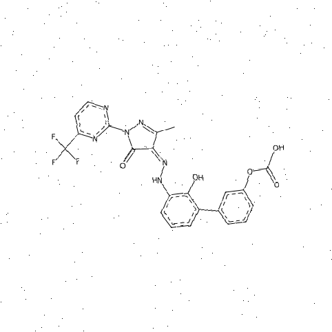 CC1=NN(c2nccc(C(F)(F)F)n2)C(=O)C1=NNc1cccc(-c2cccc(OC(=O)O)c2)c1O